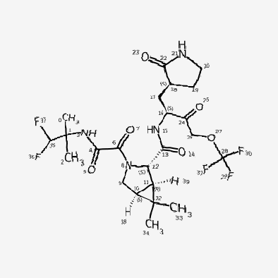 CC(C)(NC(=O)C(=O)N1C[C@H]2[C@@H]([C@H]1C(=O)N[C@@H](C[C@@H]1CCNC1=O)C(=O)COC(F)(F)F)C2(C)C)C(F)F